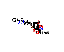 CNC(=O)c1noc2c1C(=O)C(SCCCCCNC=O)=CC2=O